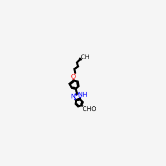 C#CCCCCOc1ccc(-c2nc3ccc(C=O)cc3[nH]2)cc1